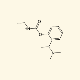 CCNC(=O)Oc1ccccc1C(C)N(C)C